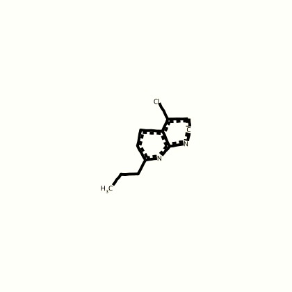 CCCc1ccc2c(Cl)ccnc2n1